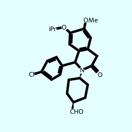 COc1cc2c(cc1OC(C)C)C(c1ccc(Cl)cc1)N([C@H]1CC[C@H](C=O)CC1)C(=O)C2